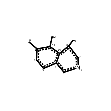 Cc1ccc2cncc(C)c2c1C